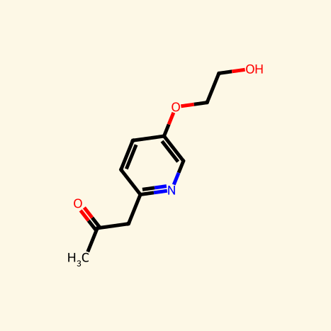 CC(=O)Cc1ccc(OCCO)cn1